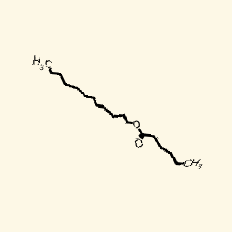 CCCC[CH]C(=O)OCCCCCCCCCCCC